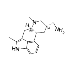 Cc1[nH]c2cccc3c2c1C[C@@H]1C3C[C@@H](CN)CN1C